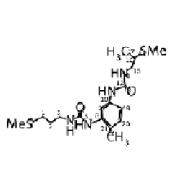 CSCCCNC(=O)Nc1cc(NC(=O)NCC(C)SC)ccc1C